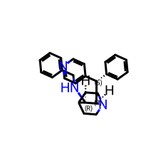 c1ccc(CN[C@@H]2C3CCN(CC3)[C@@H]2[C@@H](c2ccccc2)c2ccncc2)cc1